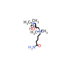 C[N+](C)(C)CC(O)C[N+](C)(C)CCCCC(N)=O